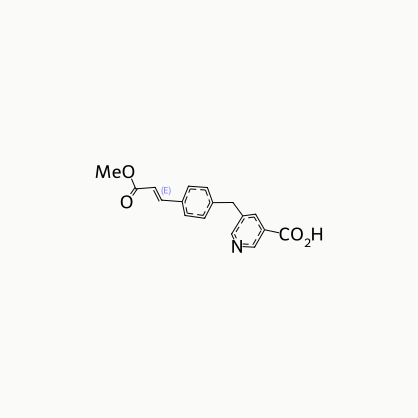 COC(=O)/C=C/c1ccc(Cc2cncc(C(=O)O)c2)cc1